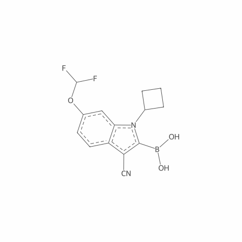 N#Cc1c(B(O)O)n(C2CCC2)c2cc(OC(F)F)ccc12